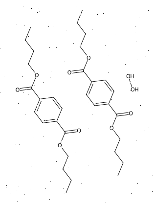 CCCCOC(=O)c1ccc(C(=O)OCCCC)cc1.CCCCOC(=O)c1ccc(C(=O)OCCCC)cc1.OO